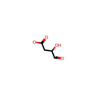 [O]C(=O)CC(O)[C]=O